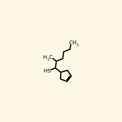 CCCCC(C)C(S)C1CC=CC1